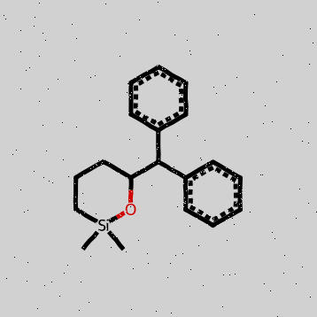 C[Si]1(C)CCCC(C(c2ccccc2)c2ccccc2)O1